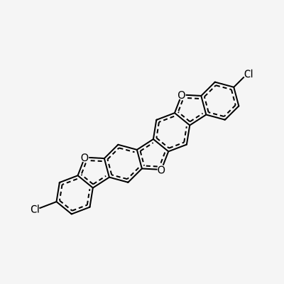 Clc1ccc2c(c1)oc1cc3c(cc12)oc1cc2c(cc13)oc1cc(Cl)ccc12